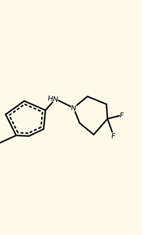 Cc1ccc(NN2CCC(F)(F)CC2)cc1